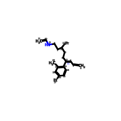 C=C/C=C(/CCC(CCNC=C)C(C)C)c1ccc(CC)cc1C